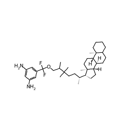 CC(COC(F)(F)c1cc(N)cc(N)c1)C(C)(C)CC[C@@H](C)[C@H]1CC[C@H]2[C@@H]3CCC4CCCC[C@]4(C)[C@H]3CC[C@]12C